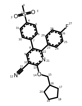 CS(=O)(=O)c1ccc(-c2cc(C#N)c(OCC3CCCC3)nc2-c2ccc(F)cc2)cc1